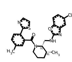 Cc1ccc(-c2nccs2)c(C(=O)N2CCC[C@@H](C)[C@H]2CNc2nc3cc(Cl)ccc3o2)c1